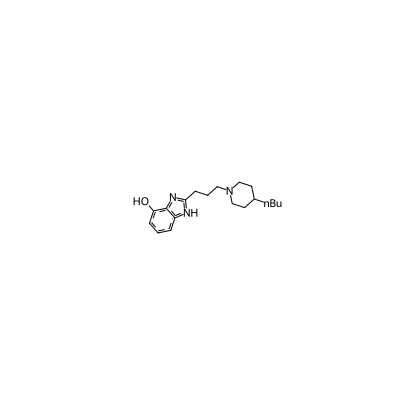 CCCCC1CCN(CCCc2nc3c(O)cccc3[nH]2)CC1